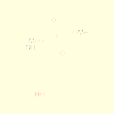 COP(=O)(OC)OCCO.N